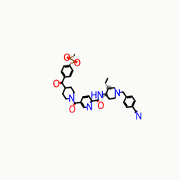 CC[C@@H]1CN(Cc2ccc(C#N)cc2)CC[C@H]1NC(=O)c1ccc(C(=O)N2CCC(C(=O)c3ccc(S(C)(=O)=O)cc3)CC2)cn1